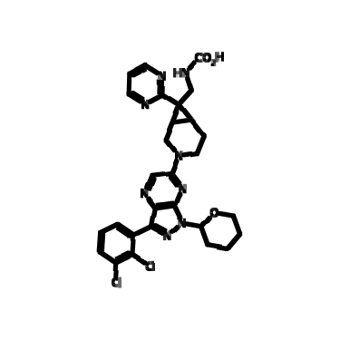 O=C(O)NCC1(c2ncccn2)C2CCN(c3cnc4c(-c5cccc(Cl)c5Cl)nn(C5CCCCO5)c4n3)CC21